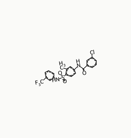 Cc1cc(NC(=O)c2cccc(Cl)c2)ccc1S(=O)(=O)Nc1cccc(C(F)(F)F)c1